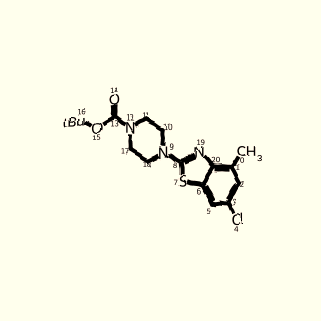 Cc1cc(Cl)cc2sc(N3CCN(C(=O)OC(C)(C)C)CC3)nc12